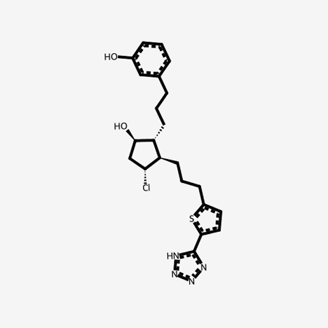 Oc1cccc(CCC[C@@H]2[C@@H](CCCc3ccc(-c4nnn[nH]4)s3)[C@H](Cl)C[C@H]2O)c1